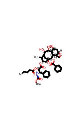 CC(=O)CCCC(=O)O[C@@H](C(=O)O[C@H]1C[C@]2(O)CC(C1C)[C@@H](O)[C@@H](O)[C@@]1(C)[C@@H]([C@@H]3CO[C@@H]3C[C@@H]1O)[C@@H]2OC(=O)c1ccccc1)[C@@H](NC(=O)OC(C)(C)C)c1ccccc1